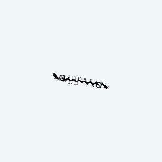 C#CCOCCCCCCCCCCCCOCC#C